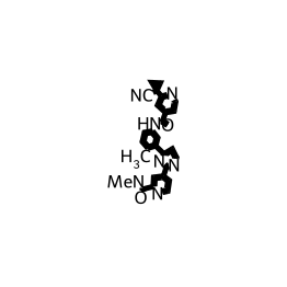 CNC(=O)c1cc(-c2nccc(-c3cc(NC(=O)c4ccnc(C5(C#N)CC5)c4)ccc3C)n2)ccn1